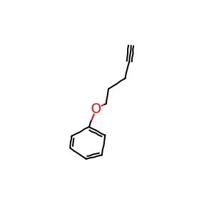 C#CCCCOc1ccccc1